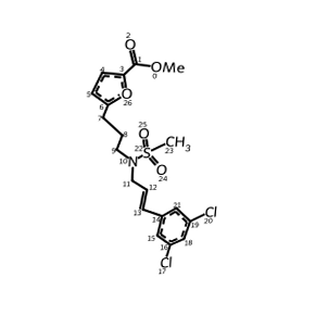 COC(=O)c1ccc(CCCN(C/C=C/c2cc(Cl)cc(Cl)c2)S(C)(=O)=O)o1